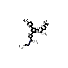 C=C/C=C\C=C(/C)C1CC(c2cc(C(=O)N[C@H](C)c3ccc(C(F)(F)F)nc3)cc(-c3ccc(C)cn3)c2)=NO1